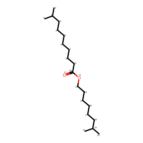 CC(C)CCCCCCCC(=O)OCCCCCCC(C)C